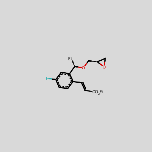 CCOC(=O)/C=C/c1ccc(F)cc1[C@@H](CC)OC[C@H]1CO1